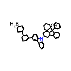 BC1C=CC(c2cccc(-c3ccc4c(c3)c3ccccc3n4[C@@H]3CCC4C(C3)C3=C(CCC=C3)C4(c3ccccc3)C3(C)CCCCC3)c2)=CC1